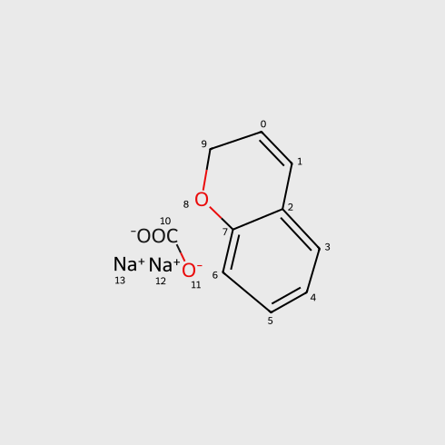 C1=Cc2ccccc2OC1.O=C([O-])[O-].[Na+].[Na+]